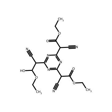 CCOC(=O)C(C#N)c1nc(C(C#N)C(=O)OCC)nc(C(C#N)C(O)OCC)n1